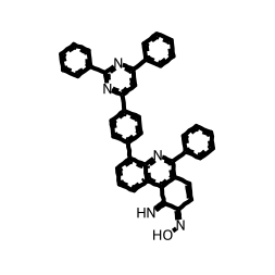 N=C1/C(=N\O)C=Cc2c(-c3ccccc3)nc3c(-c4ccc(-c5cc(-c6ccccc6)nc(-c6ccccc6)n5)cc4)cccc3c21